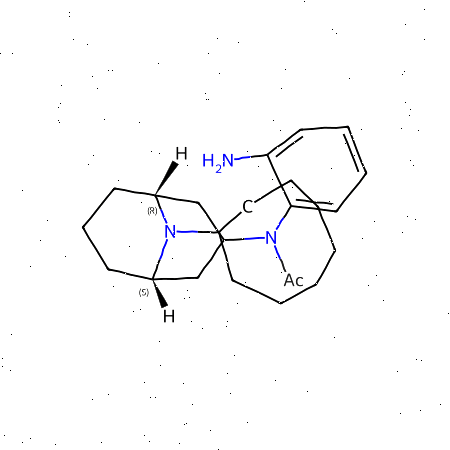 CC(=O)N(c1ccccc1N)C1C[C@H]2CCC[C@@H](C1)N2C1CCCCCCC1